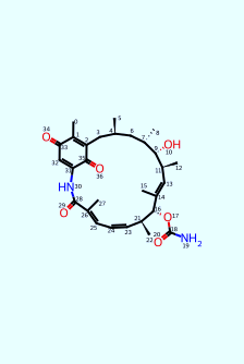 CC1=C2C[C@@H](C)C[C@H](C)[C@H](O)[C@@H](C)/C=C(\C)[C@H](OC(N)=O)[C@@H](C)/C=C\C=C(/C)C(=O)NC(=CC1=O)C2=O